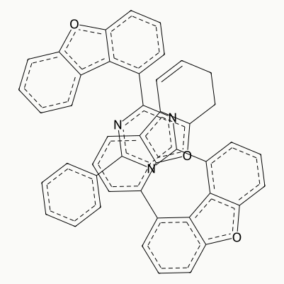 C1=Cc2c(oc3c(-c4cccc5oc6cccc(-c7nc(-c8ccccc8)nc(-c8cccc9oc%10ccccc%10c89)n7)c6c45)cccc23)CC1